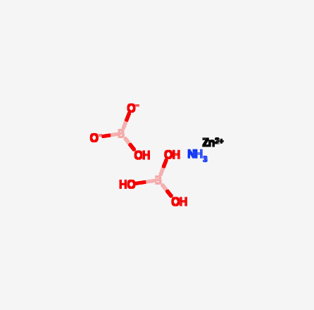 N.OB(O)O.[O-]B([O-])O.[Zn+2]